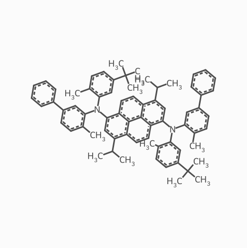 Cc1ccc(-c2ccccc2)cc1N(c1cc(C(C)(C)C)ccc1C)c1cc(C(C)C)c2ccc3c(N(c4cc(-c5ccccc5)ccc4C)c4cc(C(C)(C)C)ccc4C)cc(C(C)C)c4ccc1c2c43